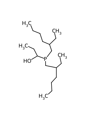 CCCCC(CC)CP(CC(CC)CCCC)C(O)CC